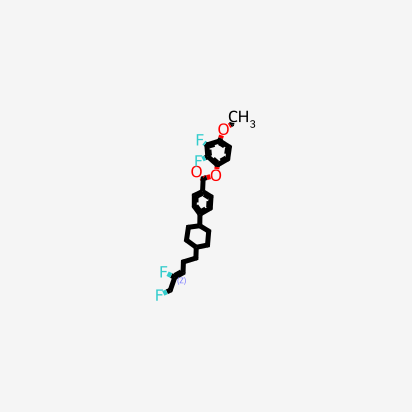 CCOc1ccc(OC(=O)c2ccc(C3CCC(CC/C=C(\F)CF)CC3)cc2)c(F)c1F